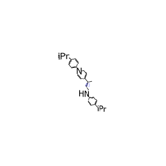 C/C(=C\CNc1ccc(C(C)C)cc1)C1=CCN(c2ccc(C(C)C)cc2)C=C1